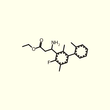 CCOC(=O)CC(N)c1c(C)c(-c2ccccc2C)cc(C)c1F